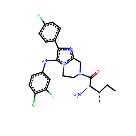 CC[C@H](C)[C@H](N)C(=O)N1CCn2c(nc(-c3ccc(F)cc3)c2Nc2ccc(Cl)c(F)c2)C1